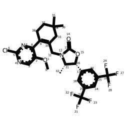 COc1cnc(Cl)nc1C1=C(CN2C(=O)O[C@H](c3cc(C(F)(F)F)cc(C(F)(F)F)c3)[C@@H]2C)CC(C)(C)CC1